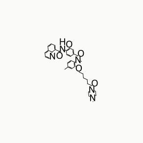 COc1cc(C(=O)N(C)c2ccc(C)cc2OCCCCCC(=O)N2CCN(C)CC2)ccc1NC(=O)c1cccc2cccnc12